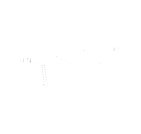 CC(C)CCC[CH]C(N)=O